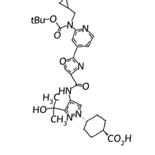 CC(C)(C)OC(=O)N(CC1CC1)c1cc(-c2nc(C(=O)Nc3cn([C@H]4CC[C@H](C(=O)O)CC4)nc3C(C)(C)O)co2)ccn1